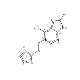 Cc1cc2c(O)n(CCc3ccco3)cnc-2n1